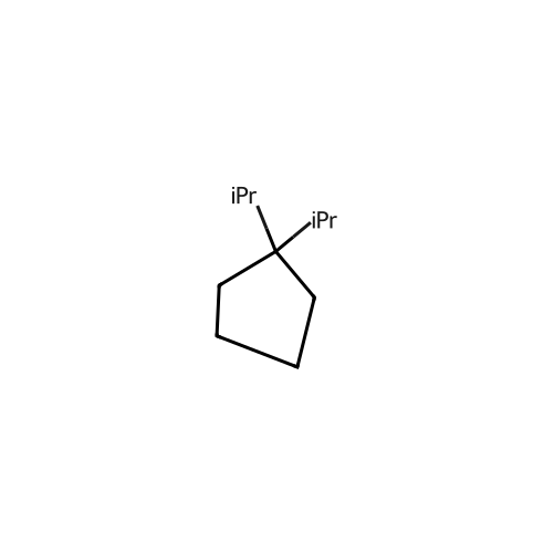 CC(C)C1(C(C)C)CCCC1